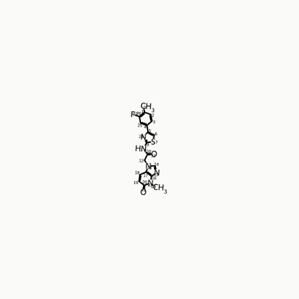 Cc1ccc(-c2csc(NC(=O)Cn3cnc4c3ccc(=O)n4C)n2)cc1F